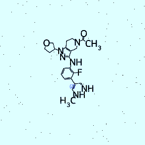 CN/C=C(\C=N)c1cccc(Nc2nn(C3CCOC3)c3c2CN(C(C)=O)CC3)c1F